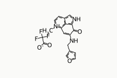 C[n+]1ccc2c[nH]c3c2c1C=C(NCc1ccoc1)C3=O.O=C([O-])C(F)(F)F